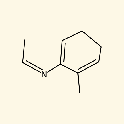 C/C=N\C1=CCCC=C1C